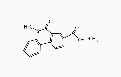 COC(=O)c1ccc(-c2ccccc2)c(C(=O)SC)c1